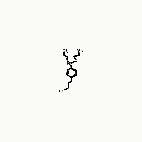 CCCCc1ccc([SiH](OCCC)OCCC)cc1